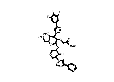 COC(=O)COC1C(SC2COCC(n3cc(-c4cncnc4)nn3)C2O)OC(COC(C)=O)C(OC(C)=O)C1n1cc(-c2cc(F)c(F)c(F)c2)nn1